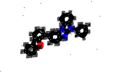 c1ccc(-n2c3ccccc3n3c4cc(-c5cccc6c5oc5ccccc56)ccc4nc23)cc1